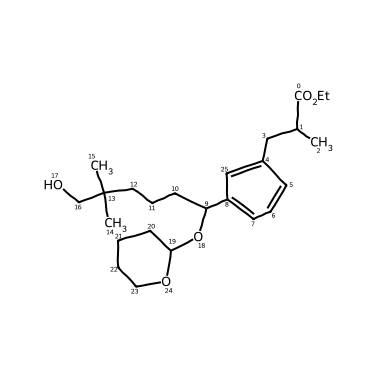 CCOC(=O)C(C)Cc1cccc(C(CCCC(C)(C)CO)OC2CCCCO2)c1